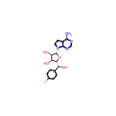 Nc1ncnc2c1ccn2[C@@H]1O[C@H](C(O)c2ccc(F)cc2)[C@@H](O)[C@H]1O